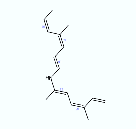 C=C/C(C)=C\C=C(/C)N/C=C/C=C(C)\C=C/C